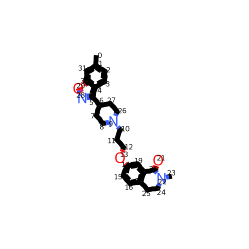 Cc1ccc2c(C3CCN(CCCOc4ccc5c(c4)C(=O)N(C)CC5)CC3)noc2c1